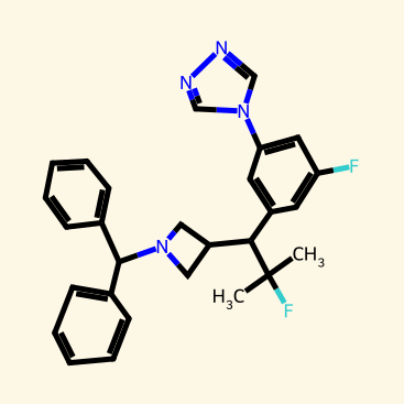 CC(C)(F)C(c1cc(F)cc(-n2cnnc2)c1)C1CN(C(c2ccccc2)c2ccccc2)C1